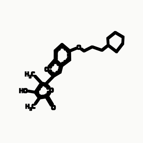 Cc1c(-c2cc3cc(OCCCC4CCCCC4)ccc3o2)oc(=O)c(C)c1O